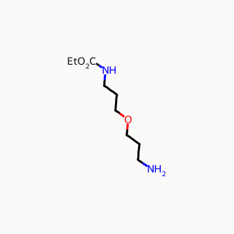 CCOC(=O)NCCCOCCCN